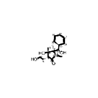 CN1C(=O)[C@H](CCO)[C@](C)(O)[C@@]1(C)[C@H](O)[C@@H]1C=CCCC1